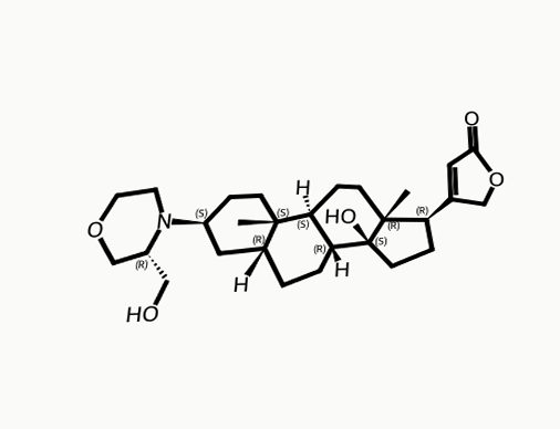 C[C@]12CC[C@H](N3CCOC[C@H]3CO)C[C@H]1CC[C@@H]1[C@@H]2CC[C@]2(C)[C@@H](C3=CC(=O)OC3)CC[C@]12O